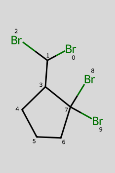 BrC(Br)C1CCCC1(Br)Br